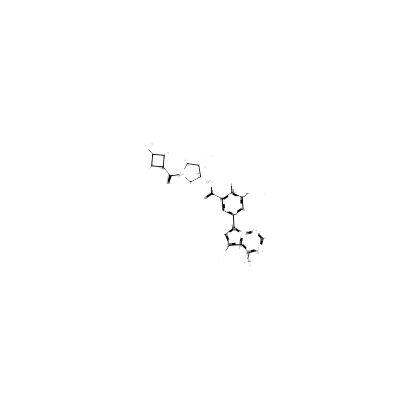 Cc1cc(-c2cc(C(F)(F)F)c3c(N)ncnn23)cc(C(=O)N[C@@H]2CN(C(=O)C3CC(F)C3)C[C@@H]2F)c1Cl